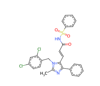 Cc1nc(-c2ccccc2)c(C=CC(=O)NS(=O)(=O)c2ccccc2)n1Cc1ccc(Cl)cc1Cl